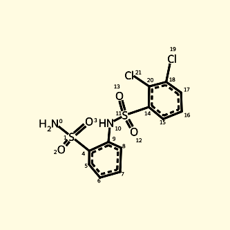 NS(=O)(=O)c1ccccc1NS(=O)(=O)c1cccc(Cl)c1Cl